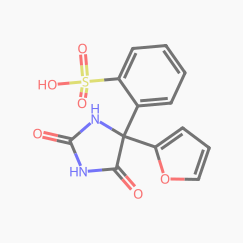 O=C1NC(=O)C(c2ccco2)(c2ccccc2S(=O)(=O)O)N1